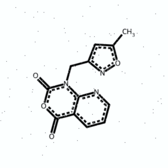 Cc1cc(Cn2c(=O)oc(=O)c3cccnc32)no1